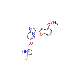 COc1cccc2oc(-c3cnc4ccc(OC[C@@H]5CCC(=O)N5)nn34)cc12